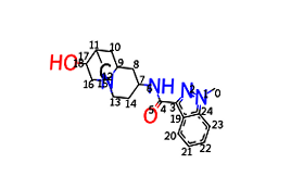 Cn1nc(C(=O)NC2CC3CC4CC(C2)N3CC4O)c2ccccc21